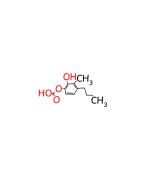 CCCCc1ccc(OC(=O)O)c(O)c1C